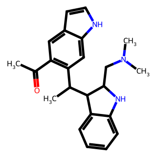 CC(=O)c1cc2cc[nH]c2cc1C(C)C1c2ccccc2NC1CN(C)C